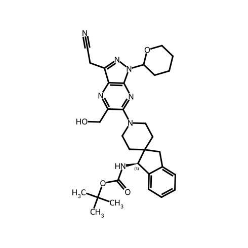 CC(C)(C)OC(=O)N[C@@H]1c2ccccc2CC12CCN(c1nc3c(nc1CO)c(CC#N)nn3C1CCCCO1)CC2